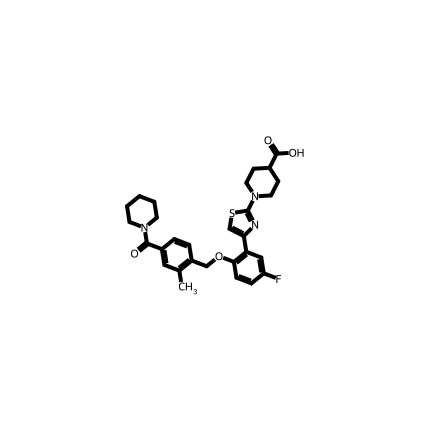 Cc1cc(C(=O)N2CCCCC2)ccc1COc1ccc(F)cc1-c1csc(N2CCC(C(=O)O)CC2)n1